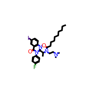 CCCCCCCCCC(=O)N(CCN(C)C)C(C)c1nc2ccc(I)cc2c(=O)n1-c1ccc(F)cc1